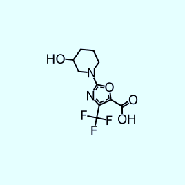 O=C(O)c1oc(N2CCCC(O)C2)nc1C(F)(F)F